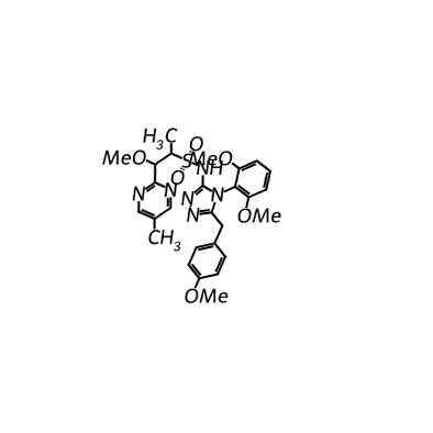 COc1ccc(Cc2nnc(NS(=O)(=O)C(C)C(OC)c3ncc(C)cn3)n2-c2c(OC)cccc2OC)cc1